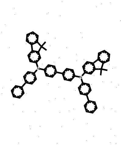 CC1(C)c2ccccc2-c2ccc(N(c3ccc(-c4ccccc4)cc3)c3ccc(-c4ccc(N(c5ccc(-c6ccccc6)cc5)c5ccc6c(c5)C(C)(C)c5ccccc5-6)cc4)cc3)cc21